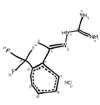 C/C(=N\NC(=N)N)c1ccccc1C(F)(F)F.Cl